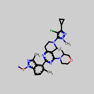 Cc1ccc2c(c(C)nn2SI)c1-c1nc2c(c(N3CCOCC3C)n1)CN(c1c(F)c(C3CC3)nn1C)CC2